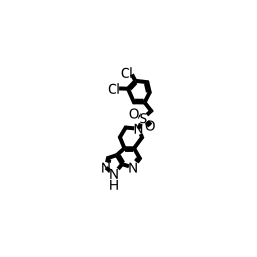 O=S(=O)(Cc1ccc(Cl)c(Cl)c1)N1CCc2c(cnc3[nH]ncc23)C1